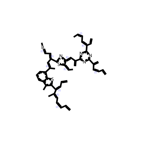 C=C\C=C/C=C(C)/C(=C/C=C)c1sc2c(/C(C)=C/C(=C\C=B/C)c3nc(=C/C(=C)c4nc(C(=C)/C=C\C=C)nc(/C(C=C)=C/C=C\C)n4)/c(=C\C)s3)cccc2c1C